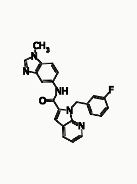 Cn1cnc2cc(NC(=O)c3cc4cccnc4n3Cc3cccc(F)c3)ccc21